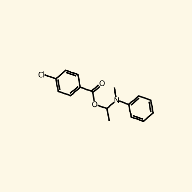 CC(OC(=O)c1ccc(Cl)cc1)N(C)c1ccccc1